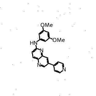 COc1cc(Nc2ccc3ncc(-c4ccncc4)cc3n2)cc(OC)c1